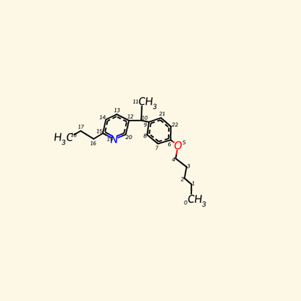 CCCCCOc1ccc(C(C)c2ccc(CCC)nc2)cc1